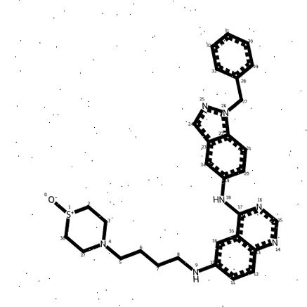 [O-][S+]1CCN(CCCCNc2ccc3ncnc(Nc4ccc5c(cnn5Cc5ccccc5)c4)c3c2)CC1